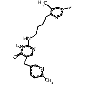 Cc1ccc(Cc2cnc(NCCCCc3ncc(F)cc3C)[nH]c2=O)cn1